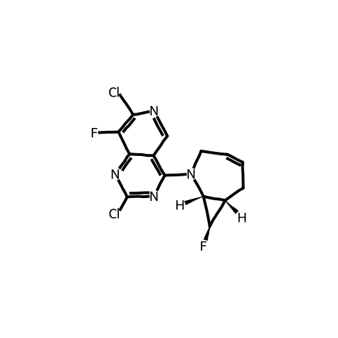 Fc1c(Cl)ncc2c(N3CC=CC[C@@H]4[C@@H](F)[C@@H]43)nc(Cl)nc12